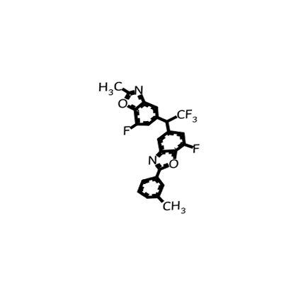 Cc1cccc(-c2nc3cc(C(c4cc(F)c5oc(C)nc5c4)C(F)(F)F)cc(F)c3o2)c1